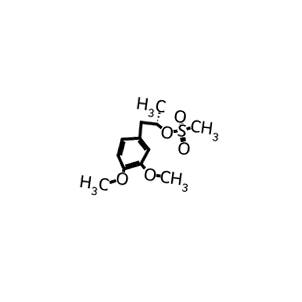 COc1ccc(C[C@H](C)OS(C)(=O)=O)cc1OC